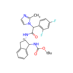 Cc1nccn1C(C(=O)N[C@H]1Cc2ccccc2C1NC(=O)OC(C)(C)C)c1ccc(F)cc1F